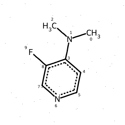 CN(C)c1ccn[c]c1F